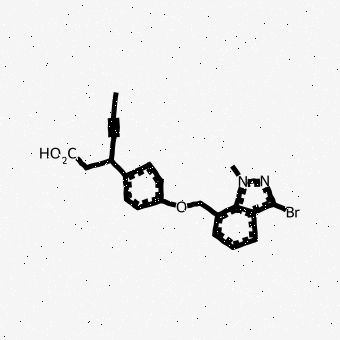 CC#CC(CC(=O)O)c1ccc(OCc2cccc3c(Br)nn(C)c23)cc1